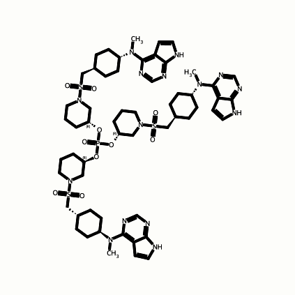 CN(c1ncnc2[nH]ccc12)[C@H]1CC[C@H](CS(=O)(=O)N2CCC[C@@H](OP(=O)(O[C@@H]3CCCN(S(=O)(=O)C[C@H]4CC[C@H](N(C)c5ncnc6[nH]ccc56)CC4)C3)O[C@@H]3CCCN(S(=O)(=O)C[C@H]4CC[C@H](N(C)c5ncnc6[nH]ccc56)CC4)C3)C2)CC1